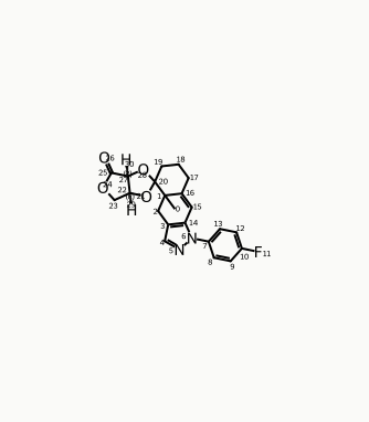 CC12Cc3cnn(-c4ccc(F)cc4)c3C=C1CCCC21O[C@@H]2COC(=O)[C@@H]2O1